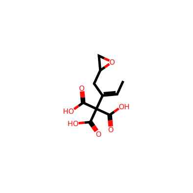 CC=C(CC1CO1)C(C(=O)O)(C(=O)O)C(=O)O